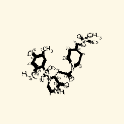 Cc1cc(S(=O)(=O)N2C=CNC(=O)[C@H]2CC(=O)N2CCC(COS(C)(=O)=O)CC2)c(C)cc1Cl